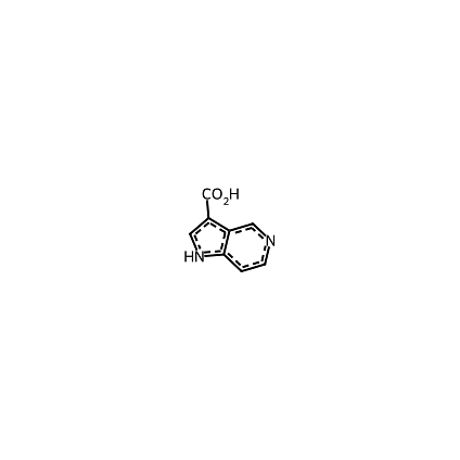 O=C(O)c1c[nH]c2ccncc12